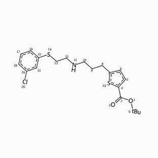 CC(C)(C)OC(=O)c1ccc(CCCNCCSc2cccc(Cl)c2)s1